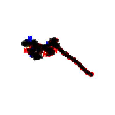 COCCOCCOCCOCCOCCOCCOCCOCCOCCOCCOCCOc1ccc(C[C@@H](C(=O)NCCCCc2ccc(COC(=O)N(CCOC34CC5(C)CC(C)(CC(Cn6ncc(-c7ccc(-c8ccc9cccc(C(=O)Nc%10nc%11ccccc%11s%10)c9c8)nc7C(=O)O)c6C)(C5)C3)C4)CCS(=O)(=O)O)c(O[C@@H]3O[C@H](C(=O)O)[C@@H](O)[C@H](O)[C@H]3O)c2)N2C(=O)C=CC2=O)cc1